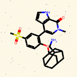 Cn1cc(-c2cc(S(C)(=O)=O)ccc2OC23CC4CC(C2)C(CN)C(C4)C3)c2cc[nH]c2c1=O